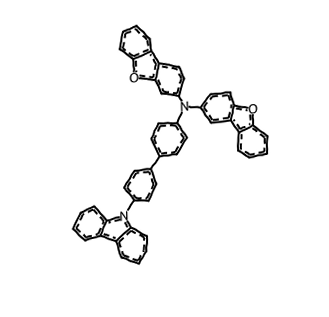 c1ccc2c(c1)oc1cc(N(c3ccc(-c4ccc(-n5c6ccccc6c6ccccc65)cc4)cc3)c3ccc4oc5ccccc5c4c3)ccc12